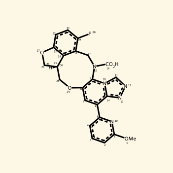 COc1cccc(-c2cc3c(n4cnnc24)N(C(=O)O)Cc2c(F)ccc4c2[C@@H](CO4)CO3)n1